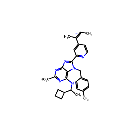 C/C=C(/C)c1ccnc(-c2nc3nc(C(=O)O)nc(NC(C)C4CCC4)c3n2Cc2ccc(C(F)(F)F)cc2)c1